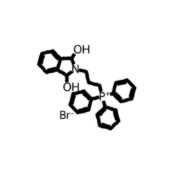 OC1c2ccccc2C(O)N1CCC[P+](c1ccccc1)(c1ccccc1)c1ccccc1.[Br-]